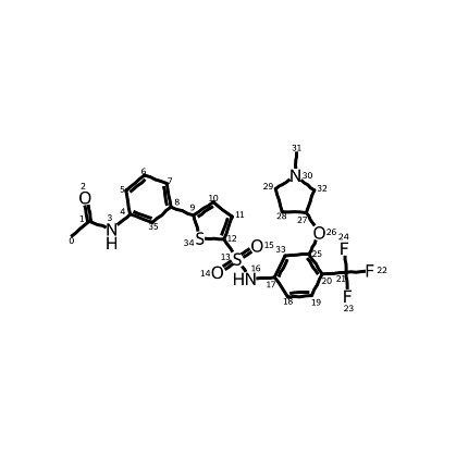 CC(=O)Nc1cccc(-c2ccc(S(=O)(=O)Nc3ccc(C(F)(F)F)c(OC4CCN(C)C4)c3)s2)c1